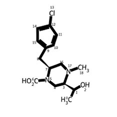 CC(O)[C@H]1CN(C(=O)O)[C@@H](Cc2ccc(Cl)cc2)CN1C